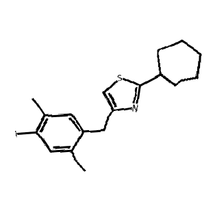 Cc1cc(Cc2csc(C3CCCCC3)n2)c(C)cc1I